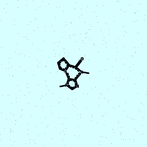 Cn1cnc2c1n1cccc1c(=O)n2C